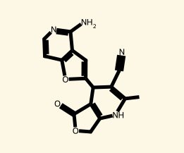 CC1=C(C#N)C(c2cc3c(N)nccc3o2)C2=C(COC2=O)N1